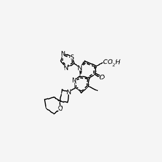 Cc1cc(N2CC3(CCCCO3)C2)nc2c1c(=O)c(C(=O)O)cn2-c1ncns1